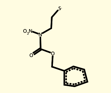 O=C(OCc1ccccc1)N(CC[S])[N+](=O)[O-]